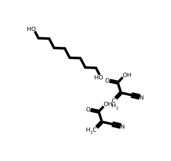 C=C(C#N)C(=O)O.C=C(C#N)C(=O)O.OCCCCCCCCO